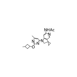 CC(=O)Nc1cc2c(cn1)C1(CC1)CN2c1cc(C)nc(OC2CC(C)C2)n1